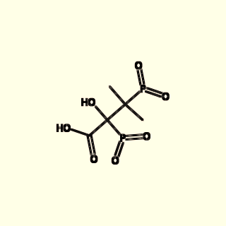 CC(C)(P(=O)=O)C(O)(C(=O)O)P(=O)=O